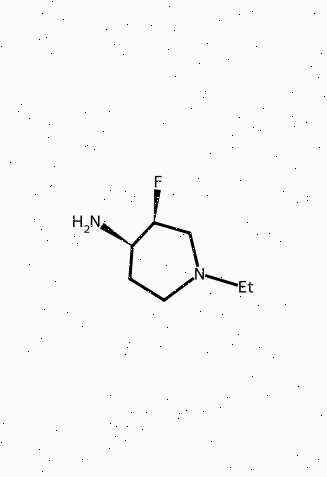 CCN1CC[C@@H](N)[C@@H](F)C1